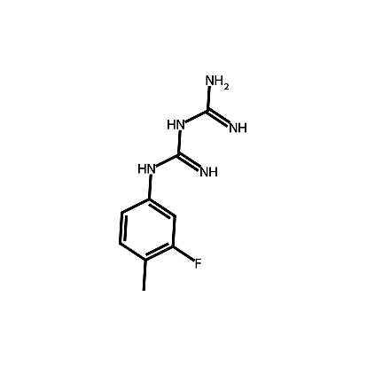 Cc1ccc(NC(=N)NC(=N)N)cc1F